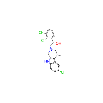 CC1CN(CC(O)c2cccc(Cl)c2Cl)Cc2[nH]c3ccc(Cl)cc3c21